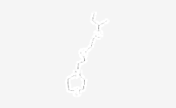 CCC(C)OCCOCCN1CCOCC1